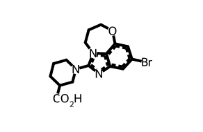 O=C(O)C1CCCN(c2nc3cc(Br)cc4c3n2CCCO4)C1